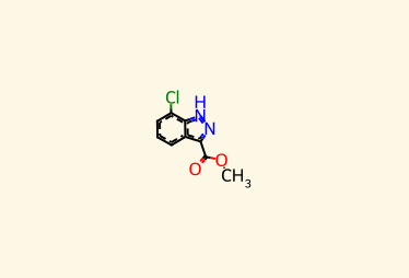 COC(=O)c1n[nH]c2c(Cl)cccc12